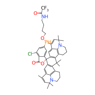 CC1=CC(C)(C)N2CCCc3c2c1cc1c3C(C)(C)c2c(cc3c4c2CCCN4C(C)(C)C=C3C)C12OC(=O)c1c(Cl)cc(POCCCCNC(=O)C(F)(F)F)cc12